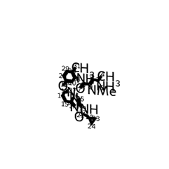 CN/C(=C\C(C)=N)C(=O)Nc1cc(Oc2ccc3nc(NC(=O)C4CC4)cn3n2)ccc1C